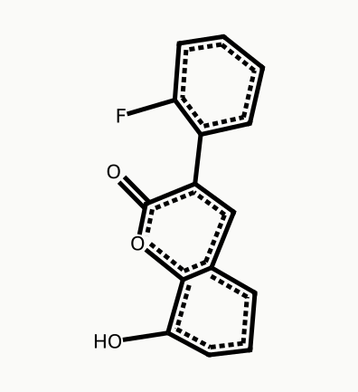 O=c1oc2c(O)cccc2cc1-c1ccccc1F